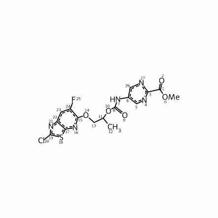 COC(=O)c1ncc(NC(=O)OC(C)COc2nc3sc(Cl)nc3cc2F)cn1